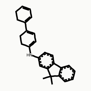 CC1(C)c2ccccc2-c2ccc(NC3=CC=C(C4=CC=CCC4)CC3)cc21